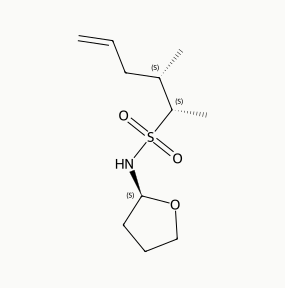 C=CC[C@H](C)[C@H](C)S(=O)(=O)N[C@@H]1CCCO1